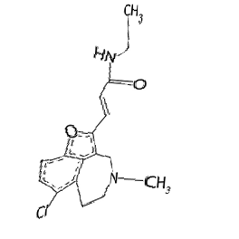 CCNC(=O)/C=C/c1oc2ccc(Cl)c3c2c1CN(C)CC3